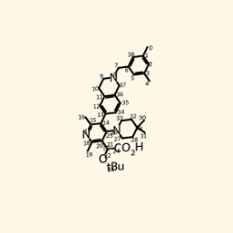 Cc1cc(C)cc(CN2CCc3cc(-c4c(C)nc(C)c([C@H](OC(C)(C)C)C(=O)O)c4N4CCC(C)(C)CC4)ccc3C2)c1